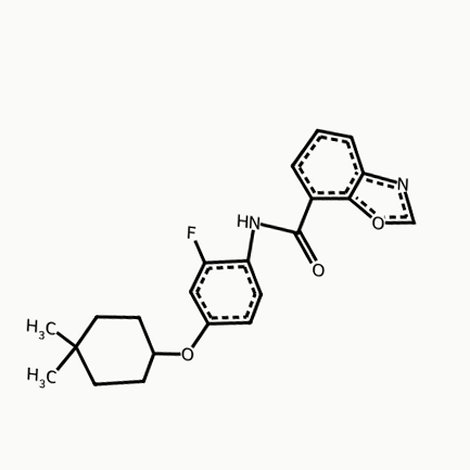 CC1(C)CCC(Oc2ccc(NC(=O)c3cccc4ncoc34)c(F)c2)CC1